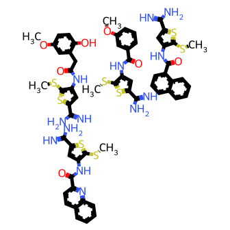 COc1ccc(O)c(CC(=O)Nc2cc(C(=N)N)sc2SC)c1.COc1cccc(C(=O)Nc2cc(C(=N)N)sc2SC)c1.CSc1sc(C(=N)N)cc1NC(=O)c1ccc2ccccc2n1.CSc1sc(C(=N)N)cc1NC(=O)c1cccc2ccccc12